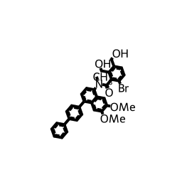 COc1cc2c(-c3ccc(-c4ccccc4)cc3)ccc(N(C)C(=O)c3c(Br)ccc(CO)c3CO)c2cc1OC